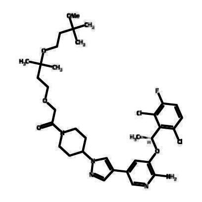 COC(C)(C)CCOC(C)(C)CCOCC(=O)N1CCC(n2cc(-c3cnc(N)c(O[C@H](C)c4c(Cl)ccc(F)c4Cl)c3)cn2)CC1